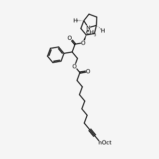 CCCCCCCCC#CCCCCCCCC(=O)OCC(C(=O)O[C@H]1C[C@H]2CC[C@@H](C1)N2C)c1ccccc1